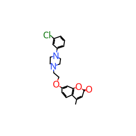 Cc1cc(=O)oc2cc(OCCN3CCN(c4cccc(Cl)c4)CC3)ccc12